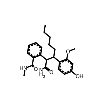 CCCCCC(c1ccc(O)cc1OC)C(C(N)=O)c1ccccc1C(=O)NC